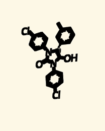 Cc1cccc([C@@H]2C(O)N(c3ccc(Cl)cc3)C(=O)N2c2ccc(Cl)cc2)c1